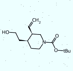 C=C[C@H]1CN(C(=O)OC(C)(C)C)CC[C@H]1CCO